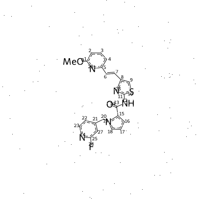 COc1cccc(/C=C/c2csc(NC(=O)c3cccn3Cc3ccnc(F)c3)n2)n1